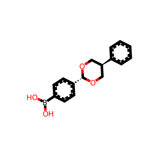 OB(O)c1ccc([C@H]2OC[C@H](c3ccccc3)CO2)cc1